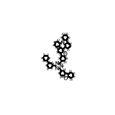 c1ccc(-c2cccc(-c3nc(-c4ccc5oc6ccccc6c5c4)nc(-c4ccc5oc6c(-c7cccc8c9ccccc9n(-c9ccccc9)c78)cccc6c5c4)n3)c2)cc1